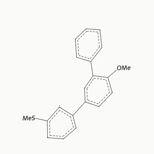 COc1ccc(-c2[c]c(SC)ccc2)cc1-c1ccccc1